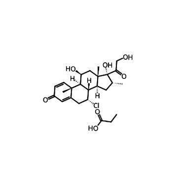 CCC(=O)O.C[C@@H]1C[C@H]2[C@H]3[C@H]([C@@H](O)C[C@]2(C)[C@@]1(O)C(=O)CO)[C@@]1(C)C=CC(=O)C=C1C[C@H]3Cl